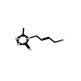 Cc1noc(=O)n1CC=CCBr